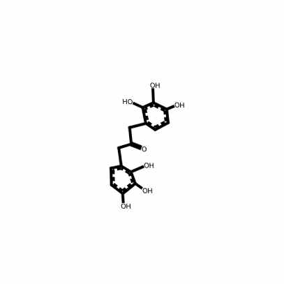 O=C(Cc1ccc(O)c(O)c1O)Cc1ccc(O)c(O)c1O